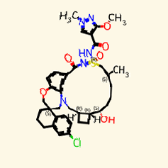 COc1nn(C)cc1C(=O)N[S@@]1(=O)=NC(=O)c2ccc3c(c2)N(C[C@@H]2CC[C@H]2[C@@H](O)CCC[C@H](C)C1)C[C@@]1(CCCc2cc(Cl)ccc21)CO3